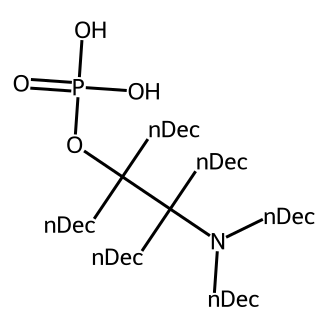 CCCCCCCCCCN(CCCCCCCCCC)C(CCCCCCCCCC)(CCCCCCCCCC)C(CCCCCCCCCC)(CCCCCCCCCC)OP(=O)(O)O